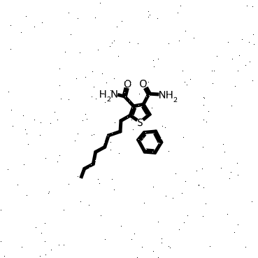 CCCCCCCCc1scc(C(N)=O)c1C(N)=O.c1ccccc1